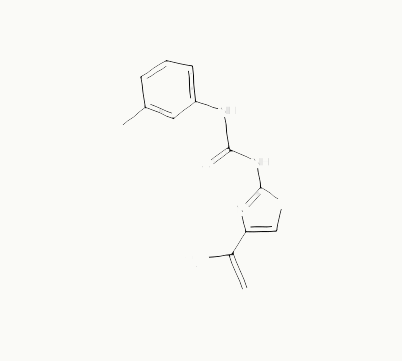 CCOC(=O)C(=O)c1csc(NC(=O)Nc2cccc(F)c2)n1